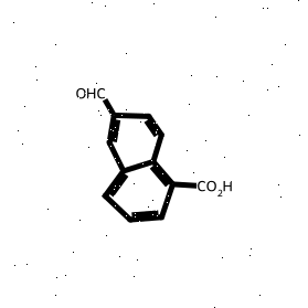 O=Cc1ccc2c(C(=O)O)cccc2c1